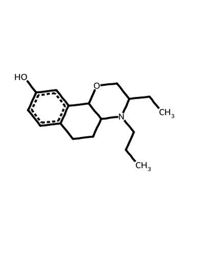 CCCN1C(CC)COC2c3cc(O)ccc3CCC21